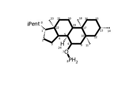 CCC[C@@H](C)[C@H]1CCC2[C@@H]3C(OP)C[C@]4(C)C[C@@H](C)CC[C@]4(C)C3CC[C@@]21C